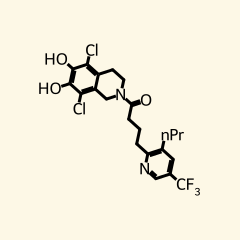 CCCc1cc(C(F)(F)F)cnc1CCCC(=O)N1CCc2c(Cl)c(O)c(O)c(Cl)c2C1